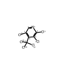 Clc1cnc(Cl)c(Cl)c1C(Cl)(Cl)Cl